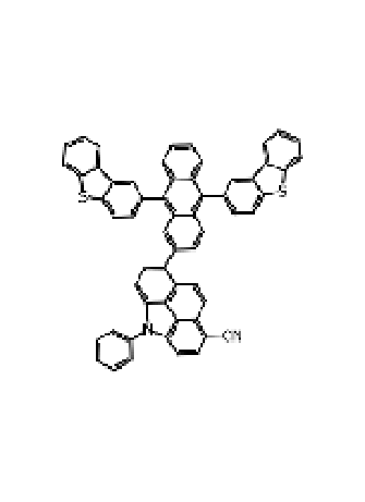 N#Cc1ccc2c3c1ccc1c(-c4ccc5c(-c6ccc7sc8ccccc8c7c6)c6ccccc6c(-c6ccc7sc8ccccc8c7c6)c5c4)ccc(c13)n2-c1ccccc1